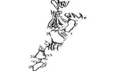 COc1cccc([C@]2(CNS(=O)(=O)NC(=O)OC(C)(C)C)CC[C@@H](NCc3ccc(-c4ccccc4)cc3)CC2)c1